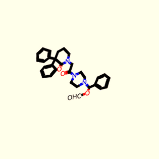 O=COC(c1ccccc1)N1CCN(C(=O)CN2CCCC(c3ccccc3)(c3ccccc3)C2=O)CC1